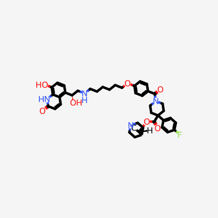 O=C(c1ccc(OCCCCCCNC[C@H](O)c2ccc(O)c3[nH]c(=O)ccc23)cc1)N1CCC(C(=O)O[C@H]2CN3CCC2CC3)(c2ccc(F)cc2)CC1